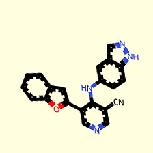 N#Cc1cncc(-c2cc3ccccc3o2)c1Nc1ccc2[nH]ncc2c1